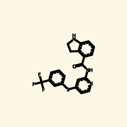 O=C(Nc1cc(Sc2cccc(C(F)(F)F)c2)ccn1)c1cccc2c1CCN2